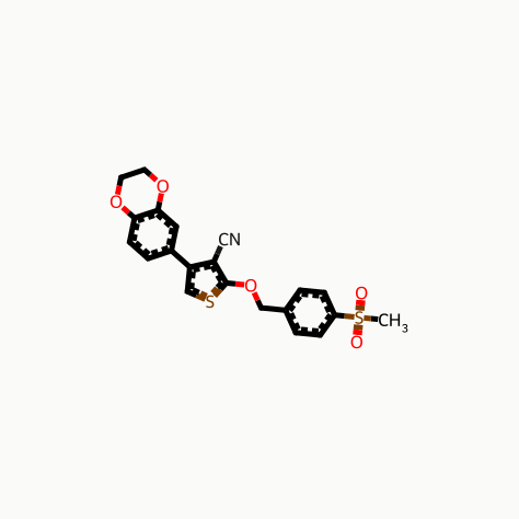 CS(=O)(=O)c1ccc(COc2scc(-c3ccc4c(c3)OCCO4)c2C#N)cc1